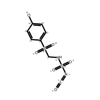 O=C=NS(=O)(=O)NCS(=O)(=O)c1ccc(Cl)cc1